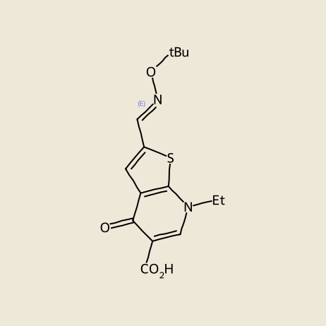 CCn1cc(C(=O)O)c(=O)c2cc(/C=N/OC(C)(C)C)sc21